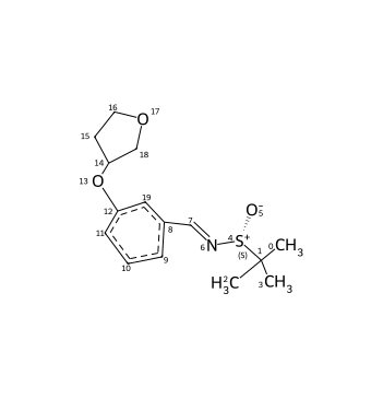 CC(C)(C)[S@@+]([O-])N=Cc1cccc(OC2CCOC2)c1